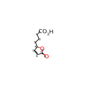 O=C(O)CCCC1C=CC(=O)O1